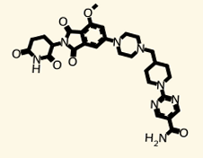 COc1cc(N2CCN(CC3CCN(c4ncc(C(N)=O)cn4)CC3)CC2)cc2c1C(=O)N(C1CCC(=O)NC1=O)C2=O